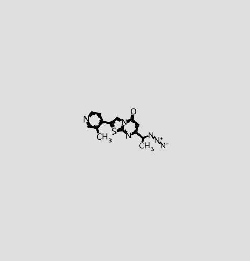 Cc1cnccc1-c1cn2c(=O)cc(C(C)N=[N+]=[N-])nc2s1